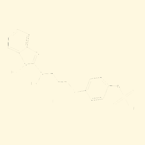 CN(CCCOc1ccc(NS(C)(=O)=O)cc1)c1nc2ccccc2n1C.Cl